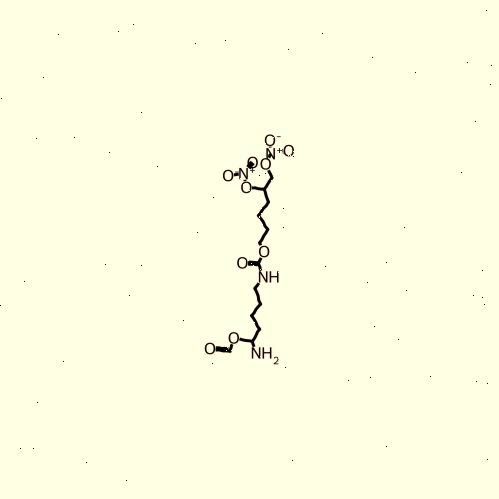 NC(CCCCNC(=O)OCCCCC(CO[N+](=O)[O-])O[N+](=O)[O-])OC=O